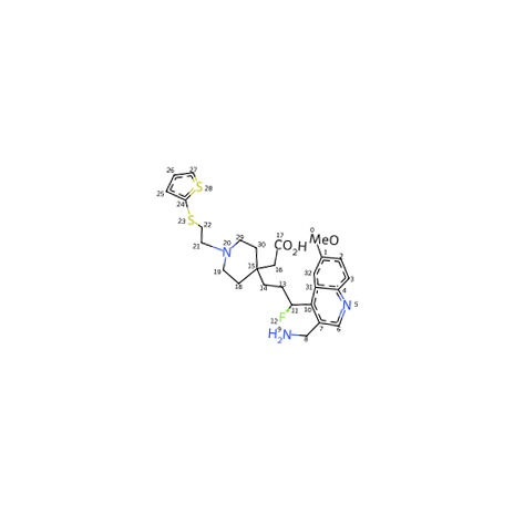 COc1ccc2ncc(CN)c([C@@H](F)CCC3(CC(=O)O)CCN(CCSc4cccs4)CC3)c2c1